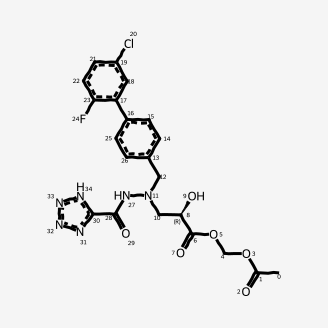 CC(=O)OCOC(=O)[C@H](O)CN(Cc1ccc(-c2cc(Cl)ccc2F)cc1)NC(=O)c1nnn[nH]1